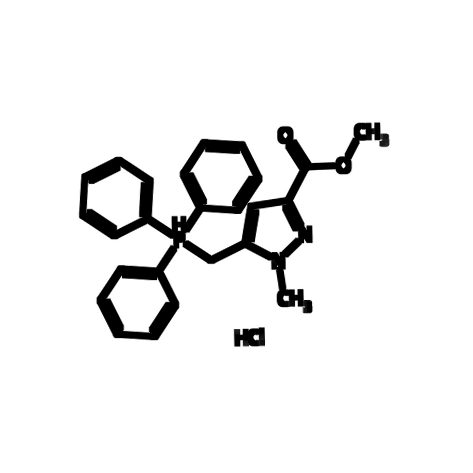 COC(=O)c1cc(C[PH](c2ccccc2)(c2ccccc2)c2ccccc2)n(C)n1.Cl